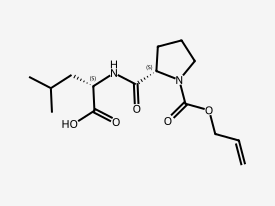 C=CCOC(=O)N1CCC[C@H]1C(=O)N[C@@H](CC(C)C)C(=O)O